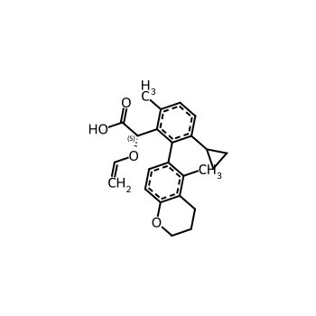 C=CO[C@H](C(=O)O)c1c(C)ccc(C2CC2)c1-c1ccc2c(c1C)CCCO2